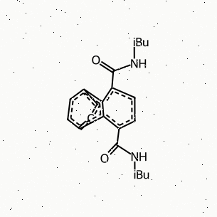 CCC(C)NC(=O)c1ccc(C(=O)NC(C)CC)c2c3ccc(cc3)c12